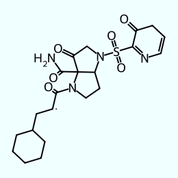 NC(=O)C12C(=O)CN(S(=O)(=O)C3=NC=CCC3=O)C1CCN2C(=O)[CH]CC1CCCCC1